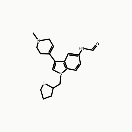 CN1CC=C(c2cn(CC3CCCO3)c3ccc(NC=O)cc23)CC1